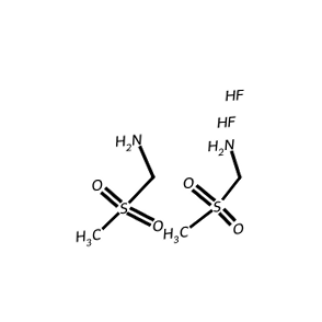 CS(=O)(=O)CN.CS(=O)(=O)CN.F.F